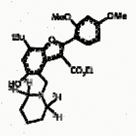 [2H]C1([2H])CCCC([2H])([2H])N1Cc1c(O)cc(C(C)(C)C)c2oc(-c3ccc(OC)cc3OC)c(C(=O)OCC)c12